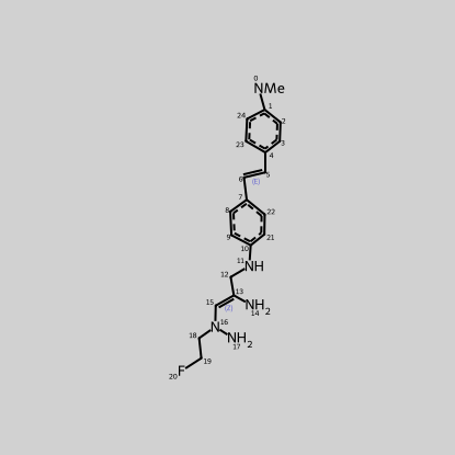 CNc1ccc(/C=C/c2ccc(NC/C(N)=C/N(N)CCF)cc2)cc1